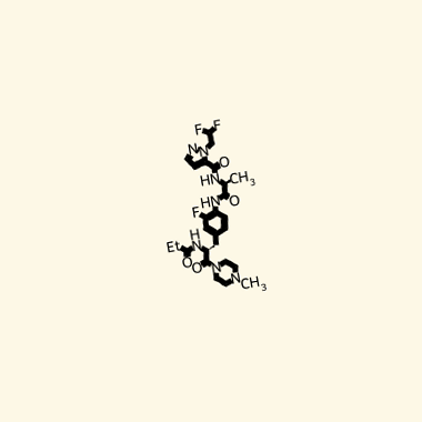 CCC(=O)N[C@H](Cc1ccc(NC(=O)[C@H](C)NC(=O)c2ccnn2CC(F)F)c(F)c1)C(=O)N1CCN(C)CC1